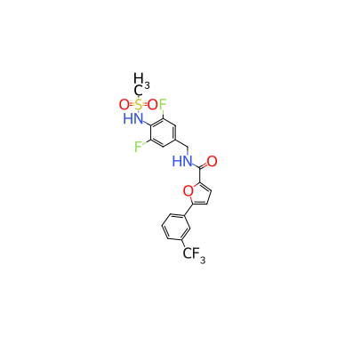 CS(=O)(=O)Nc1c(F)cc(CNC(=O)c2ccc(-c3cccc(C(F)(F)F)c3)o2)cc1F